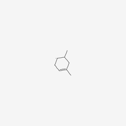 CC1=CC[CH]C(C)C1